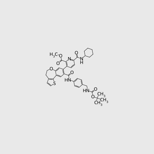 COC(=O)c1nc(C(=O)NC2CCCCC2)ccc1-c1cc2c(cc1C(=O)Nc1ccc(CNC(=O)OC(C)(C)C)cc1)-c1sccc1CCO2